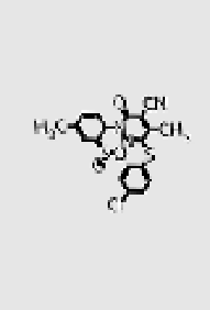 CC1=CC(=S(=O)=O)C(n2nc(Sc3ccc(Cl)cc3)c(C)c(C#N)c2=O)C=C1